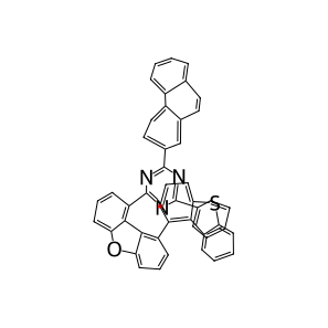 c1ccc(-c2nc(-c3ccc4c(ccc5ccccc54)c3)nc(-c3cccc4oc5cccc(-c6cccc7sc8ccccc8c67)c5c34)n2)cc1